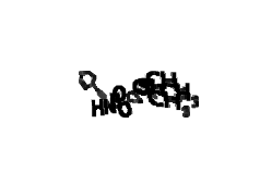 C[Si](C)(C)OC1CC2OB(NC#Cc3ccccc3)OC21